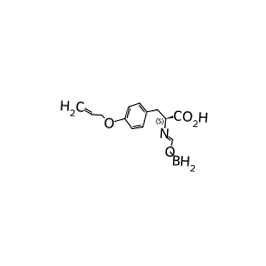 BOC=N[C@@H](Cc1ccc(OCC=C)cc1)C(=O)O